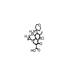 COc1c(C2(N)CCOCC2)c(F)cc2c(=O)c(C(=O)O)cn(C3CC3)c12.Cl